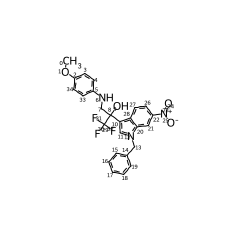 COc1ccc(NCC(O)(c2cn(Cc3ccccc3)c3cc([N+](=O)[O-])ccc23)C(F)(F)F)cc1